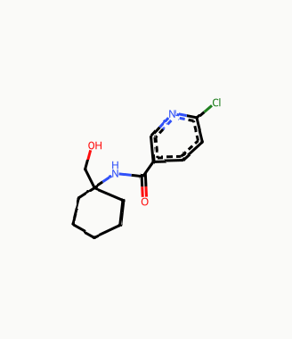 O=C(NC1(CO)CCCCC1)c1ccc(Cl)nc1